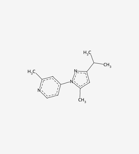 Cc1cc(-n2nc(C(C)C)cc2C)ccn1